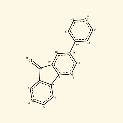 O=C1c2cnccc2-c2ncc(-c3ccncc3)cc21